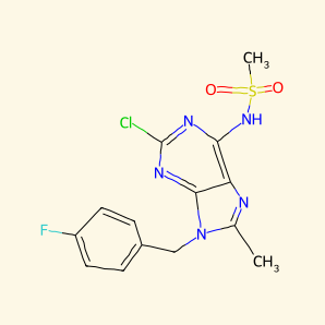 Cc1nc2c(NS(C)(=O)=O)nc(Cl)nc2n1Cc1ccc(F)cc1